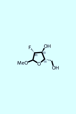 COC1O[C@@H](CO)[C@H](O)[C@H]1F